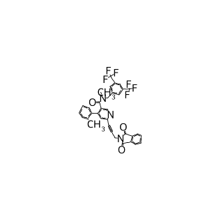 Cc1ccccc1-c1cc(C#CCN2C(=O)c3ccccc3C2=O)ncc1C(=O)N(C)Cc1cc(C(F)(F)F)cc(C(F)(F)F)c1